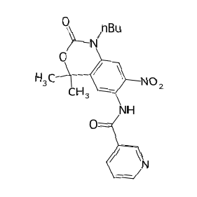 CCCCN1C(=O)OC(C)(C)c2cc(NC(=O)c3cccnc3)c([N+](=O)[O-])cc21